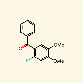 COc1cc(F)c(C(=O)c2ccccc2)cc1OC